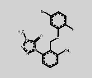 Cc1cccc(-n2nnn(C)c2=O)c1COc1cc(Br)ccc1F